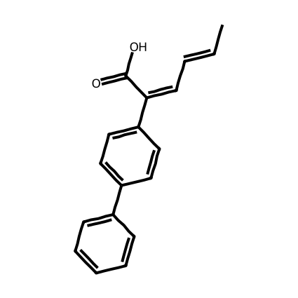 CC=CC=C(C(=O)O)c1ccc(-c2ccccc2)cc1